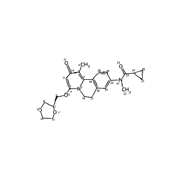 Cc1c2n(c(OC[C@@H]3COCCO3)cc1=O)CCc1cc(N(C)C(=O)C3CC3)ccc1-2